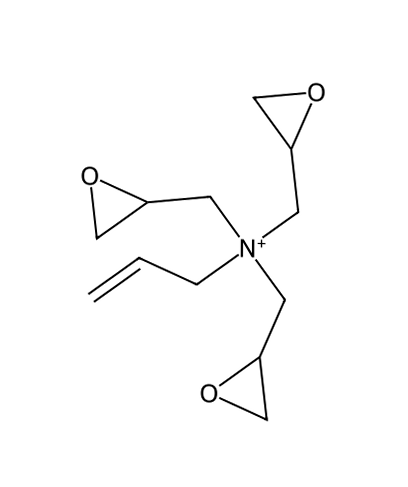 C=CC[N+](CC1CO1)(CC1CO1)CC1CO1